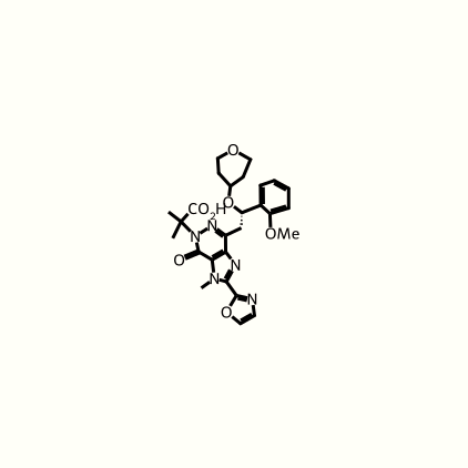 COc1ccccc1[C@H](Cc1nn(C(C)(C)C(=O)O)c(=O)c2c1nc(-c1ncco1)n2C)OC1CCOCC1